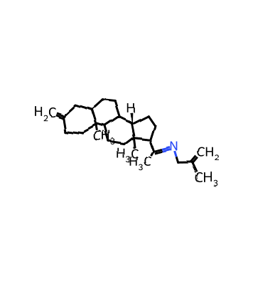 C=C(C)C/N=C(\C)C1CC[C@H]2C3CCC4CC(=C)CCC4(C)C3CCC12C